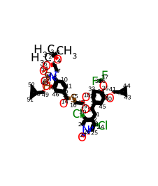 CC(C)(C)OC(=O)CN(c1ccc(C(=O)SCC(=O)OC(Cc2c(Cl)c[n+]([O-])cc2Cl)c2ccc(OC(F)F)c(OCC3CC3)c2)cc1OCC1CC1)[SH](=O)=O